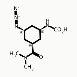 CN(C)C(=O)[C@H]1C[C@@H](N=[N+]=[N-])C[C@@H](NC(=O)O)C1